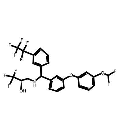 O[C@H](CNC(c1cccc(Oc2cccc(OC(F)F)c2)c1)c1cccc(C(F)(F)C(F)(F)F)c1)C(F)(F)F